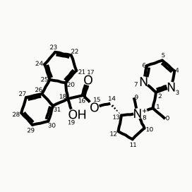 CC(c1ncccn1)[N+]1(C)CCC[C@@H]1COC(=O)C1(O)c2ccccc2-c2ccccc21